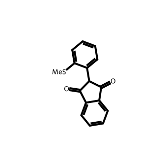 CSc1ccccc1C1C(=O)c2ccccc2C1=O